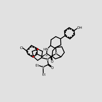 CCN(CC)C(=O)N(C1CCCCC1)C1CC2CCC(C1)N2C(=O)[C@@H](Cc1ccc(Cl)cc1)NC1CCC(c2ccc(O)cc2)CC1